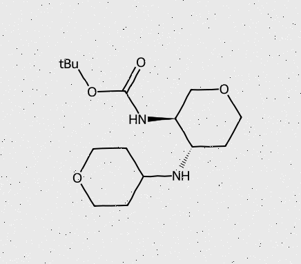 CC(C)(C)OC(=O)N[C@H]1COCC[C@@H]1NC1CCOCC1